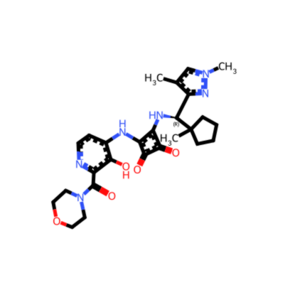 Cc1cn(C)nc1[C@H](Nc1c(Nc2ccnc(C(=O)N3CCOCC3)c2O)c(=O)c1=O)C1(C)CCCC1